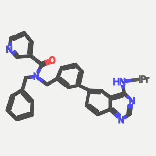 CC(C)Nc1ncnc2ccc(-c3cccc(CN(Cc4ccccc4)C(=O)c4cccnc4)c3)cc12